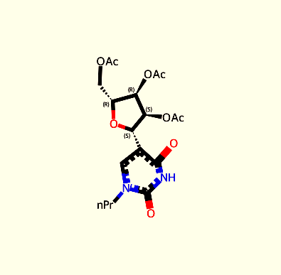 CCCn1cc([C@@H]2O[C@H](COC(C)=O)[C@@H](OC(C)=O)[C@H]2OC(C)=O)c(=O)[nH]c1=O